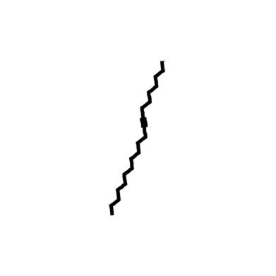 [CH2]CCCCCCC#CCCCCCCCCCCC